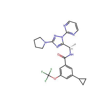 C[C@H](NC(=O)c1cc(OC(F)(F)F)cc(C2CC2)c1)c1nc(N2CCCC2)nn1-c1ncccn1